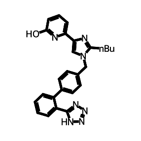 CCCCc1nc(-c2cccc(O)n2)cn1Cc1ccc(-c2ccccc2-c2nnn[nH]2)cc1